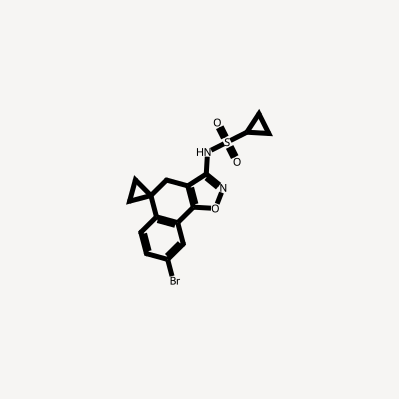 O=S(=O)(Nc1noc2c1CC1(CC1)c1ccc(Br)cc1-2)C1CC1